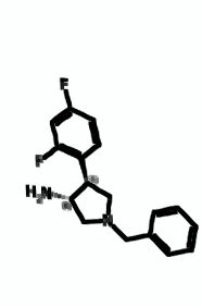 N[C@H]1CN(Cc2ccccc2)C[C@@H]1c1ccc(F)cc1F